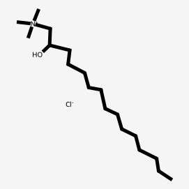 CCCCCCCCCCCCCC(O)C[N+](C)(C)C.[Cl-]